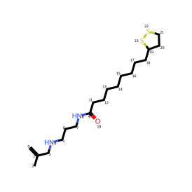 C=C(C)CNCCCNC(=O)CCCCCCCCC1CCSS1